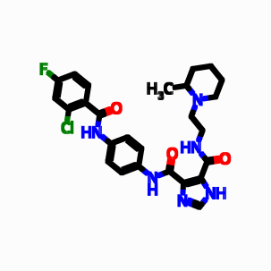 CC1CCCCN1CCNC(=O)c1[nH]cnc1C(=O)Nc1ccc(NC(=O)c2ccc(F)cc2Cl)cc1